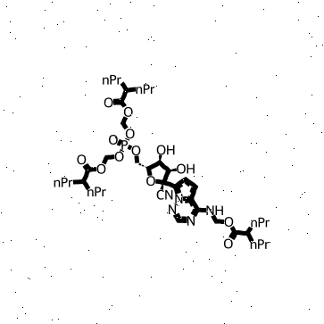 CCCC(CCC)C(=O)OCNc1ncnn2c([C@]3(C#N)O[C@H](COP(=O)(OCOC(=O)C(CCC)CCC)OCOC(=O)C(CCC)CCC)[C@@H](O)[C@H]3O)ccc12